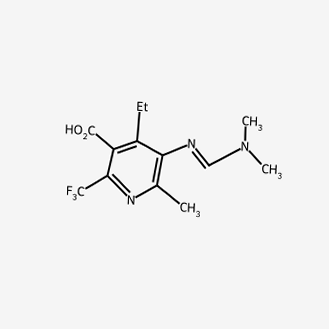 CCc1c(N=CN(C)C)c(C)nc(C(F)(F)F)c1C(=O)O